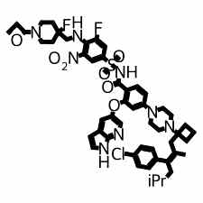 C/C(CC1(N2CCN(c3ccc(C(=O)NS(=O)(=O)c4cc(F)c(NCC5(F)CCN(C6CCO6)CC5)c([N+](=O)[O-])c4)c(Oc4cnc5[nH]ccc5c4)c3)CC2)CCC1)=C(\CC(C)C)c1ccc(Cl)cc1